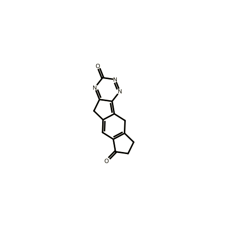 O=C1N=NC2=C3CC4=C(C=C3CC2=N1)C(=O)CC4